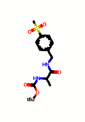 CC(NC(=O)OC(C)(C)C)C(=O)NCc1ccc(S(C)(=O)=O)cc1